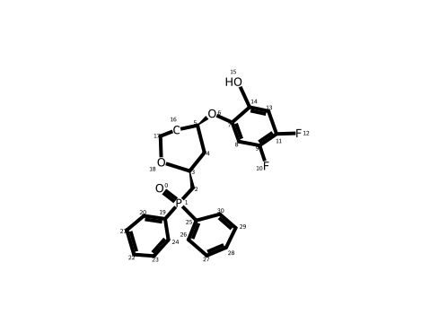 O=P(C[C@@H]1C[C@H](Oc2cc(F)c(F)cc2O)CCO1)(c1ccccc1)c1ccccc1